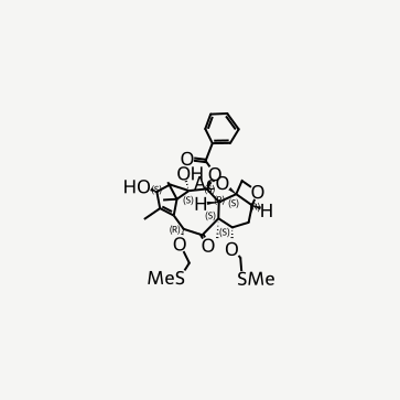 CSCO[C@H]1C(=O)[C@]2(C)[C@@H](OCSC)C[C@H]3OC[C@@]3(OC(C)=O)[C@H]2[C@H](OC(=O)c2ccccc2)[C@]2(O)C[C@H](O)C(C)=C1C2(C)C